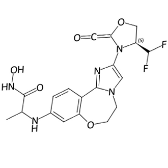 CC(Nc1ccc2c(c1)OCCn1cc(N3C(=C=O)OC[C@H]3C(F)F)nc1-2)C(=O)NO